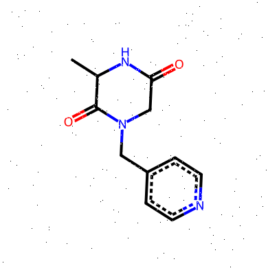 CC1NC(=O)CN(Cc2ccncc2)C1=O